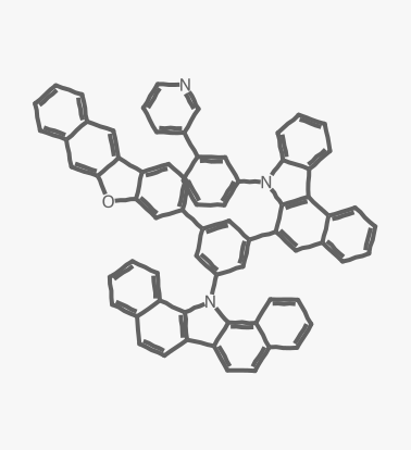 c1cncc(-c2cccc(-n3c4ccccc4c4c5ccccc5cc(-c5cc(-c6ccc7c(c6)oc6cc8ccccc8cc67)cc(-n6c7c8ccccc8ccc7c7ccc8ccccc8c76)c5)c43)c2)c1